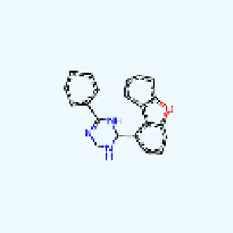 c1ccc(C2=NCNC(c3cccc4oc5ccccc5c34)N2)cc1